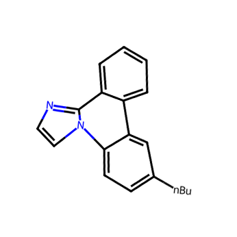 CCCCc1ccc2c(c1)c1ccccc1c1nccn21